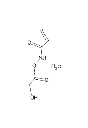 C=CC(=O)NOC(=O)CO.O